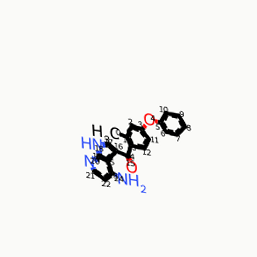 Cc1cc(Oc2ccccc2)ccc1C(=O)c1c[nH]c2nccc(N)c12